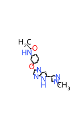 C=CC(=O)Nc1cccc(Oc2cnc3[nH]c(-c4cnn(C)c4)cc3n2)c1